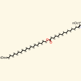 CCCCCCCC/C=C\CCCCCCCCCCCCCC(=O)OCCCCCCCCCCCCCCCCCCCCCCCCCCCCC